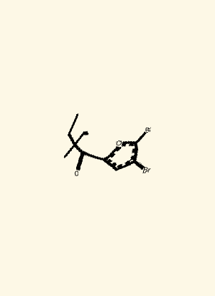 CCC(C)(C)C(=O)c1cc(Br)c(Br)o1